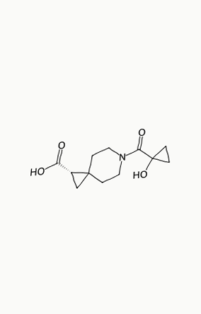 O=C(O)[C@H]1CC12CCN(C(=O)C1(O)CC1)CC2